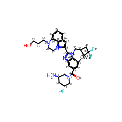 COc1cc(C(=O)N2C[C@H](N)C[C@@H](F)C2)cc2nc(-c3cc4cccc5c4n3CCN5CCCO)n(CC3CC(F)(F)C3)c12